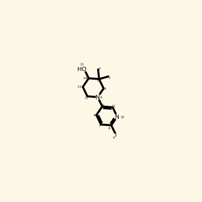 CC1(C)CN(c2ccc(I)nc2)CCC1O